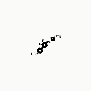 COc1ccc(-c2ccc(CO[C@H]3C[C@H](N=C=S)C3)c(F)c2F)cc1